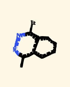 CCc1nnc(C)c2ccccc12